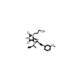 C#CC(C)n1c(C#Cc2cccc(OC)c2)nc2c1c(=O)[nH]c(=O)n2CCCO